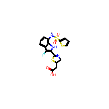 CN(c1cccc2c(F)c(C3=NCC(CC(=O)O)S3)[nH]c12)S(=O)(=O)c1cccs1